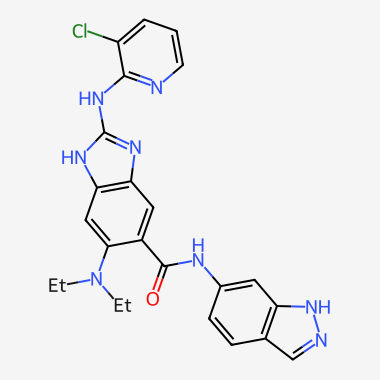 CCN(CC)c1cc2[nH]c(Nc3ncccc3Cl)nc2cc1C(=O)Nc1ccc2cn[nH]c2c1